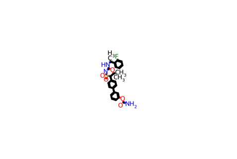 C[C@H](NC1=NS(=O)(=O)C(c2ccc(-c3cccc(OC(N)=O)c3)cc2)C(C)(C)O1)c1ccccc1F